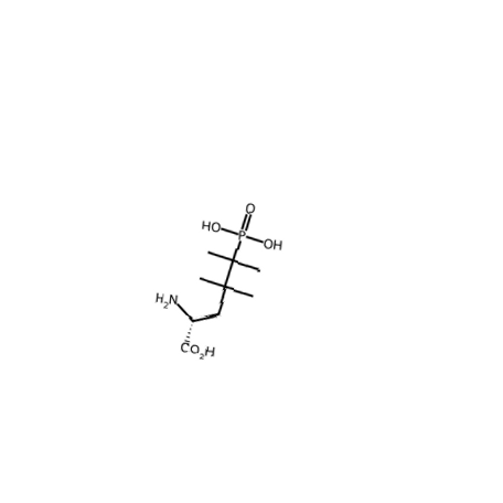 CC(C)(C[C@@H](N)C(=O)O)C(C)(C)P(=O)(O)O